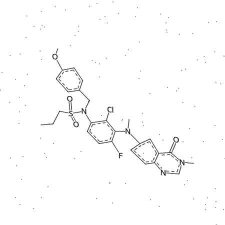 CCCS(=O)(=O)N(Cc1ccc(OC)cc1)c1ccc(F)c(N(C)c2ccc3ncn(C)c(=O)c3c2)c1Cl